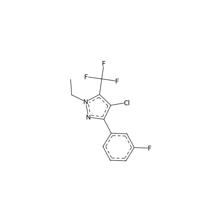 CCn1nc(-c2cccc(F)c2)c(Cl)c1C(F)(F)F